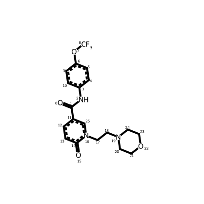 O=C(Nc1ccc(OC(F)(F)F)cc1)c1ccc(=O)n(CCN2CCOCC2)c1